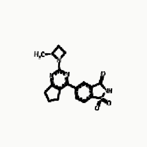 C[C@H]1CCN1c1nc2c(c(-c3ccc4c(c3)C(=O)NS4(=O)=O)n1)CCC2